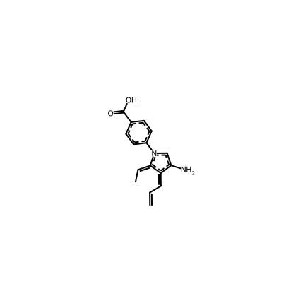 C=C/C=c1/c(N)cn(-c2ccc(C(=O)O)cc2)/c1=C/C